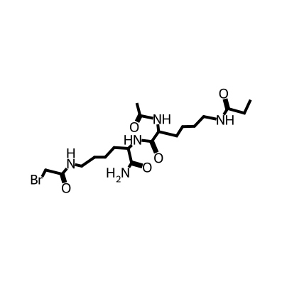 CCC(=O)NCCCCC(NC(C)=O)C(=O)NC(CCCCNC(=O)CBr)C(N)=O